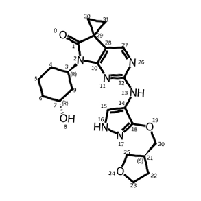 O=C1N([C@@H]2CCC[C@@H](O)C2)c2nc(Nc3c[nH]nc3OC[C@H]3CCOC3)ncc2C12CC2